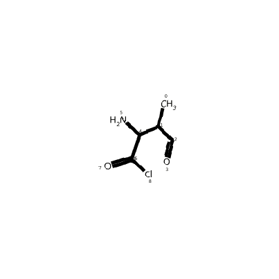 CC(C=O)C(N)C(=O)Cl